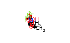 COc1c(OC(=O)c2ccc(C)cc2)cccc1C(=O)Nc1c(O)cc(C(F)(C(F)(F)F)C(F)(F)F)cc1OC(F)F